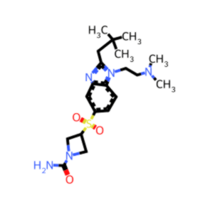 CN(C)CCn1c(CC(C)(C)C)nc2cc(S(=O)(=O)C3CN(C(N)=O)C3)ccc21